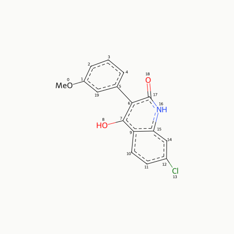 COc1cccc(-c2c(O)c3ccc(Cl)cc3[nH]c2=O)c1